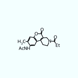 CCC(=O)N1CCc2c(c(=O)oc3cc(C)c(NC(C)=O)cc23)C1